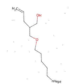 C=CCC(CO)COCCCCCCCCCCCC